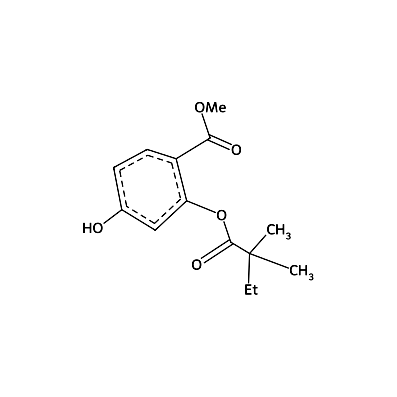 CCC(C)(C)C(=O)Oc1cc(O)ccc1C(=O)OC